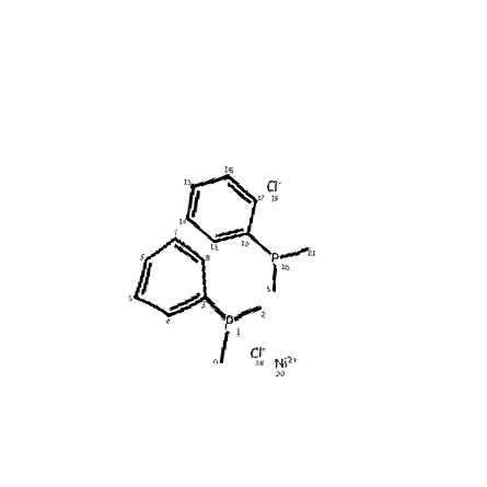 CP(C)c1ccccc1.CP(C)c1ccccc1.[Cl-].[Cl-].[Ni+2]